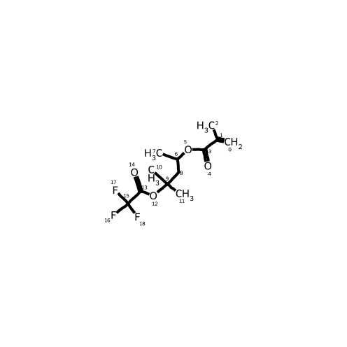 C=C(C)C(=O)OC(C)CC(C)(C)OC(=O)C(F)(F)F